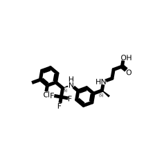 Cc1cccc([C@H](Nc2cccc([C@H](C)NCCC(=O)O)c2)C(F)(F)F)c1Cl